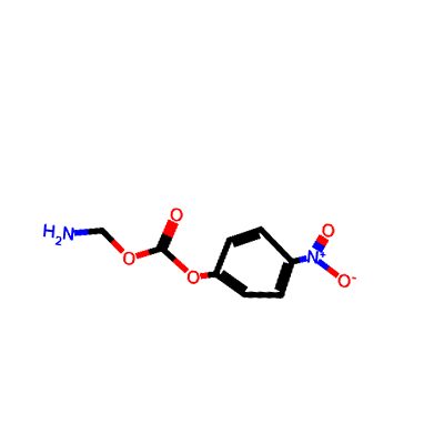 NCOC(=O)Oc1ccc([N+](=O)[O-])cc1